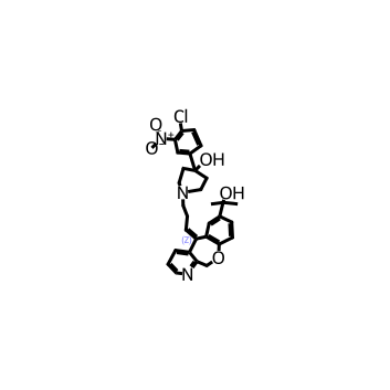 CC(C)(O)c1ccc2c(c1)/C(=C\CCN1CCC(O)(c3ccc(Cl)c([N+](=O)[O-])c3)CC1)c1cccnc1CO2